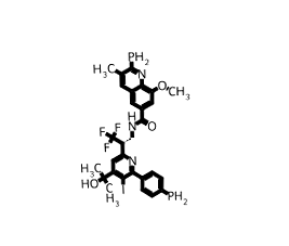 COc1cc(C(=O)NC[C@H](c2cc(C(C)(C)O)c(I)c(-c3ccc(P)cc3)n2)C(F)(F)F)cc2cc(C)c(P)nc12